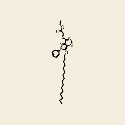 CCCCCCCCCCCCCCCCOc1c2ncnc(SCC(=O)OCC)c2nn1-c1ccccc1